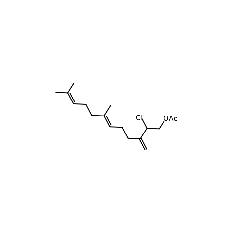 C=C(CC/C=C(\C)CCC=C(C)C)C(Cl)COC(C)=O